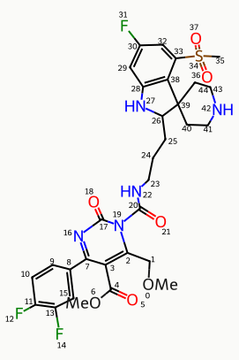 COCc1c(C(=O)OC)c(-c2ccc(F)c(F)c2)nc(=O)n1C(=O)NCCCC1Nc2cc(F)cc(S(C)(=O)=O)c2C12CCNCC2